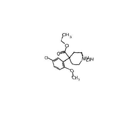 CCOC(=O)C1(c2cc(Cl)ccc2OC)CCNCC1.Cl